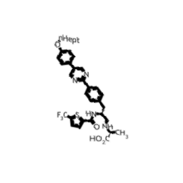 CCCCCCCOc1ccc(-c2cnc(-c3ccc(C[C@@H](CN[C@H](C)C(=O)O)NC(=O)c4ccc(C(F)(F)F)s4)cc3)nc2)cc1